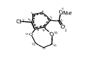 COC(=O)c1ccc(Cl)c2c1OCCCO2